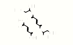 CCC(C)OC(=O)/C=C/C(=O)OC(C)CC.O=C(O)/C=C/C(=O)O